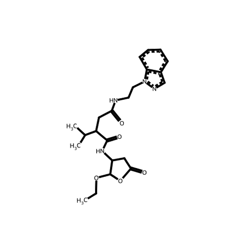 CCOC1OC(=O)CC1NC(=O)C(CC(=O)NCCn1ncc2ccccc21)C(C)C